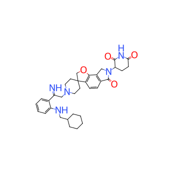 N=C(CN1CCC2(CC1)COc1c2ccc2c1CN(C1CCC(=O)NC1=O)C2=O)c1ccccc1NCC1CCCCC1